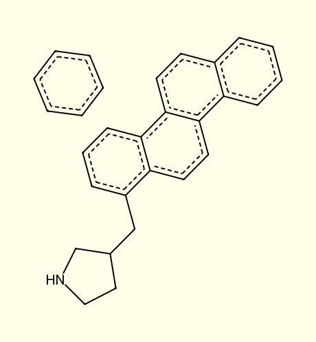 c1ccc2c(c1)ccc1c3cccc(CC4CCNC4)c3ccc21.c1ccccc1